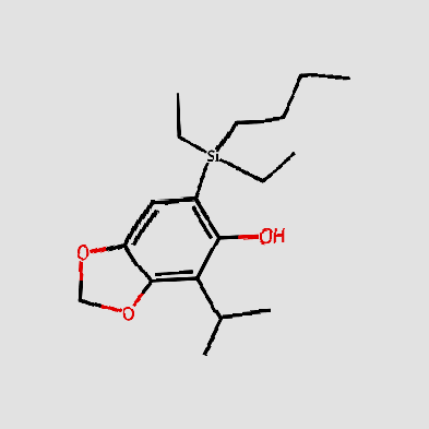 CCCC[Si](CC)(CC)c1cc2c(c(C(C)C)c1O)OCO2